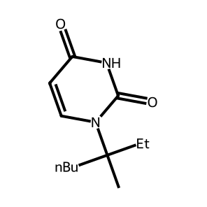 CCCCC(C)(CC)n1ccc(=O)[nH]c1=O